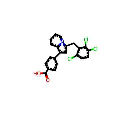 O=C(O)c1ccc(-c2cc(Cc3c(Cl)ccc(Cl)c3Cl)n3ccccc23)cc1